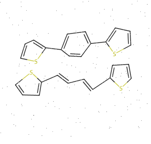 C(C=Cc1cccs1)=Cc1cccs1.c1csc(-c2ccc(-c3cccs3)cc2)c1